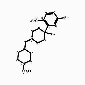 CCOC(=O)N1CCC(CN2CCC(F)(c3cc(F)ccc3OC)CC2)CC1